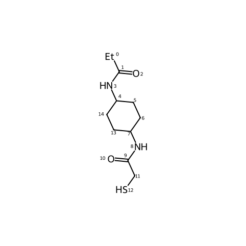 CCC(=O)NC1CCC(NC(=O)CS)CC1